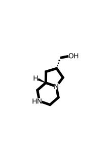 OC[C@H]1C[C@H]2CNCCN2C1